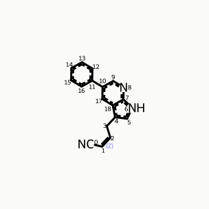 N#C/C=C\Cc1c[nH]c2ncc(-c3ccccc3)cc12